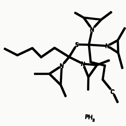 CCCCCC(SC(CCCCC)(N1C(C)C1C)N1C(C)C1C)(N1C(C)C1C)N1C(C)C1C.P